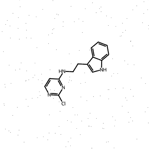 Clc1nccc(NCCc2c[nH]c3ccccc23)n1